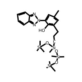 Cc1cc(CCC[Si](C)(O[Si](C)(C)C)O[Si](C)(C)O[Si](C)(C)C)c(O)c(-n2nc3ccccc3n2)c1